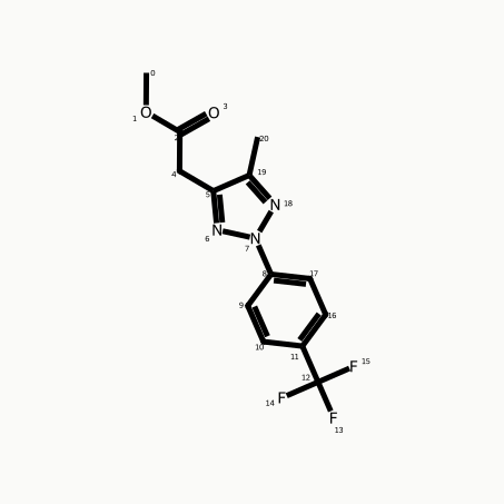 COC(=O)Cc1nn(-c2ccc(C(F)(F)F)cc2)nc1C